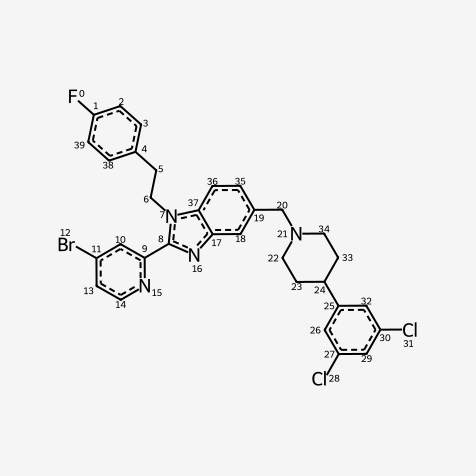 Fc1ccc(CCn2c(-c3cc(Br)ccn3)nc3cc(CN4CCC(c5cc(Cl)cc(Cl)c5)CC4)ccc32)cc1